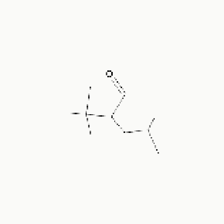 CC(C)CC(C=O)C(C)(C)C